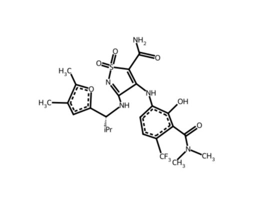 Cc1cc([C@H](NC2=NS(=O)(=O)C(C(N)=O)=C2Nc2ccc(C(F)(F)F)c(C(=O)N(C)C)c2O)C(C)C)oc1C